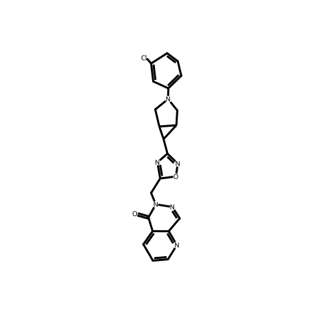 O=c1c2cccnc2cnn1Cc1nc(C2C3CN(c4cccc(Cl)c4)CC32)no1